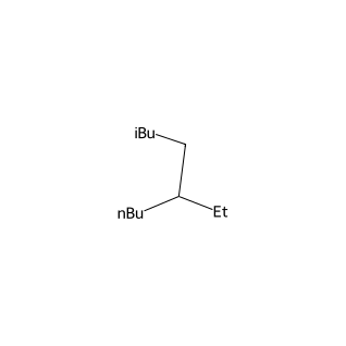 [CH2]C(CC)CC(CC)CCCC